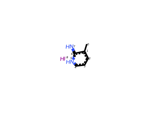 Cc1ccc[nH]c1=N.I